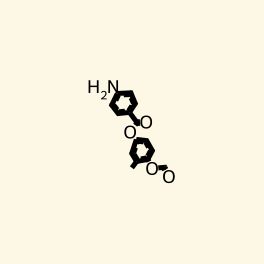 Cc1cc(OC(=O)c2ccc(N)cc2)ccc1OC=O